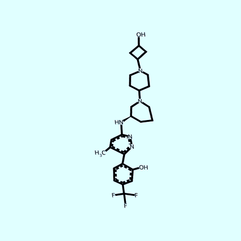 Cc1cc(N[C@@H]2CCCN(C3CCN(C4CC(O)C4)CC3)C2)nnc1-c1ccc(C(F)(F)F)cc1O